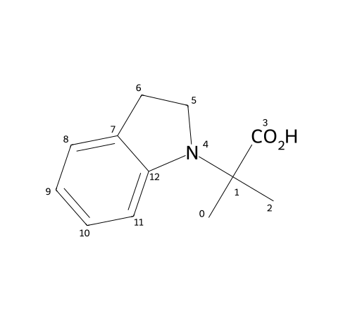 CC(C)(C(=O)O)N1CCc2ccccc21